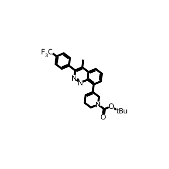 Cc1c(-c2ccc(C(F)(F)F)cc2)nnc2c(C3=CCCN(C(=O)OC(C)(C)C)C3)cccc12